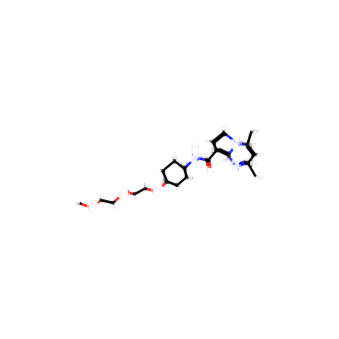 COCCOCCOC1CCC(NC(=O)c2ccn3c(C)cc(C)nc23)CC1